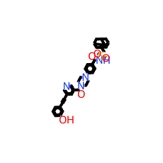 O=C(NS(=O)(=O)CC12CC3CC(CC(C3)C1)C2)c1ccc(N2CCN(C(=O)c3cncc(C#Cc4cccc(O)c4)c3)CC2)cc1